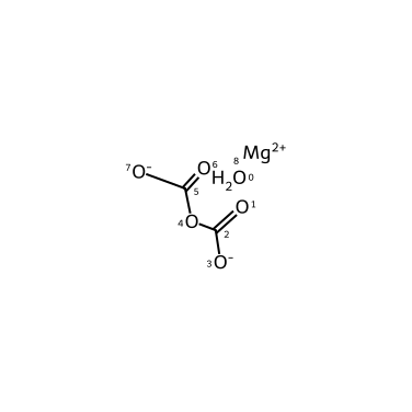 O.O=C([O-])OC(=O)[O-].[Mg+2]